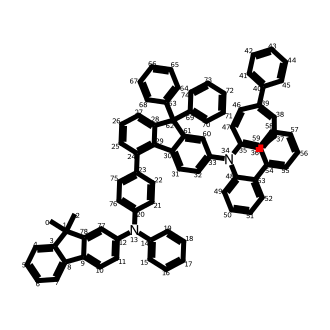 CC1(C)c2ccccc2-c2ccc(N(c3ccccc3)c3ccc(-c4cccc5c4-c4ccc(N(C6=CCC=C(c7ccccc7)C=C6)c6ccccc6-c6ccccc6)cc4C5(c4ccccc4)c4ccccc4)cc3)cc21